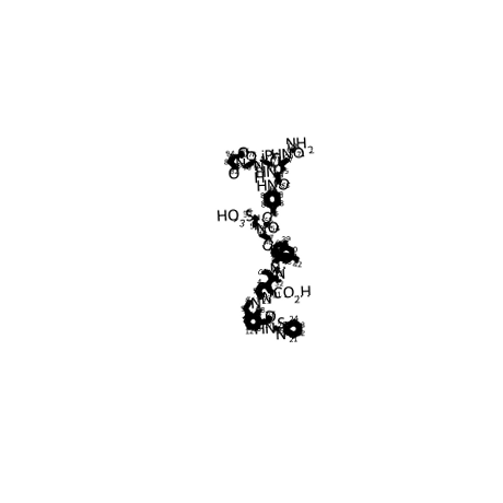 Cc1c(-c2ccc(N3CCc4cccc(C(=O)Nc5nc6ccccc6s5)c4C3)nc2C(=O)O)cnn1CC12CC3(C)CC(C)(C1)CC(OCCN(CCS(=O)(=O)O)C(=O)OCc1ccc(NC(=O)[C@H](CCCNC(N)=O)NC(=O)C(NC(=O)CN4C(=O)C=CC4=O)C(C)C)cc1)(C3)C2